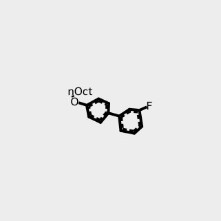 CCCCCCCCOc1ccc(-c2cccc(F)c2)cc1